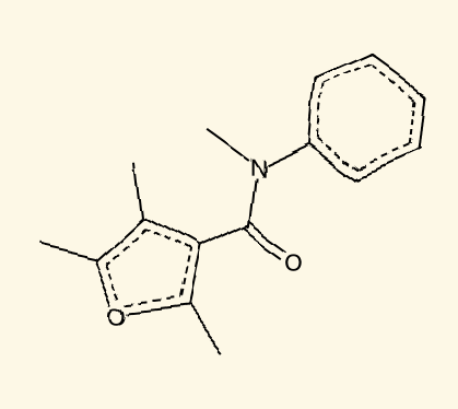 Cc1oc(C)c(C(=O)N(C)c2ccccc2)c1C